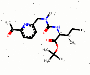 CC[C@H](C)[C@H](NC(=O)N(C)Cc1cccc(C(C)=O)n1)C(=O)OC(C)(C)C